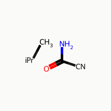 CC(C)C.N#CC(N)=O